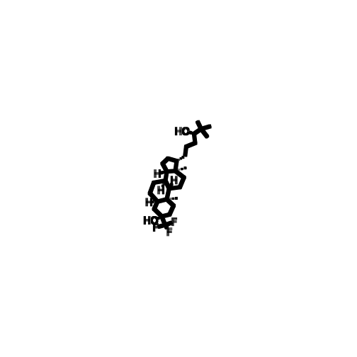 CC(C)(C)[C@H](O)CCC[C@H]1CC[C@H]2[C@@H]3CC[C@@H]4C[C@](O)(C(F)(F)F)CC[C@]4(C)[C@H]3CC[C@]12C